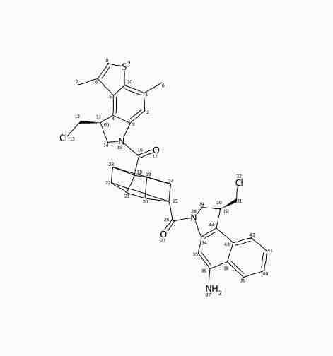 Cc1cc2c(c3c(C)csc13)[C@H](CCl)CN2C(=O)C12C3C4C1C1C2C3C41C(=O)N1C[C@@H](CCl)c2c1cc(N)c1ccccc21